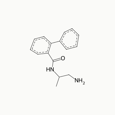 CC(CN)NC(=O)c1ccccc1-c1ccccc1